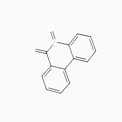 O=C1c2ccccc2-c2ccccc2[PH]1=S